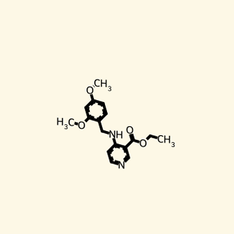 CCOC(=O)c1cnccc1NCc1ccc(OC)cc1OC